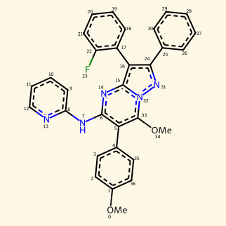 COc1ccc(-c2c(Nc3ccccn3)nc3c(-c4ccccc4F)c(-c4ccccc4)nn3c2OC)cc1